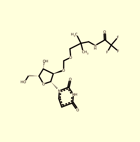 CC(C)(CNC(=O)C(F)(F)F)COCO[C@@H]1[C@@H](O)[C@@H](CO)O[C@H]1n1ccc(=O)[nH]c1=O